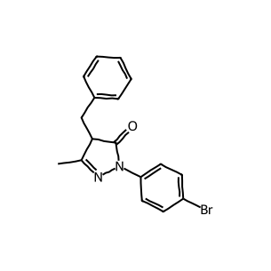 CC1=NN(c2ccc(Br)cc2)C(=O)C1Cc1ccccc1